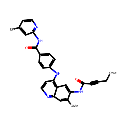 CCc1ccnc(NC(=O)c2ccc(Nc3ccnc4cc(OC)c(NC(=O)C#CCOC)cc34)cc2)c1